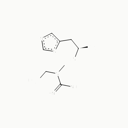 CN(CC(=O)O)C(=N)N.N[C@@H](Cc1c[nH]cn1)C(=O)O